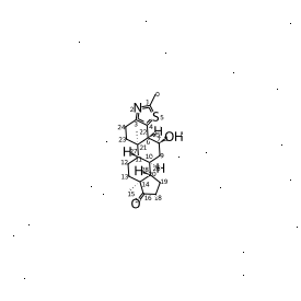 Cc1nc2c(s1)[C@@H]1[C@@H](O)C[C@@H]3[C@H](CC[C@]4(C)C(=O)CC[C@@H]34)[C@@]1(C)CC2